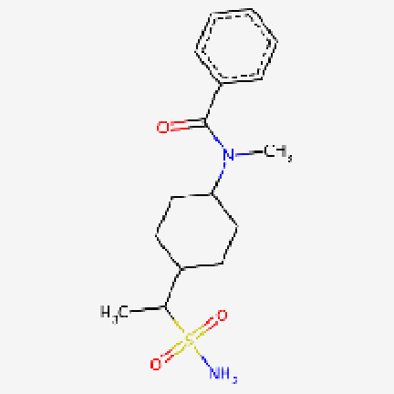 CC(C1CCC(N(C)C(=O)c2ccccc2)CC1)S(N)(=O)=O